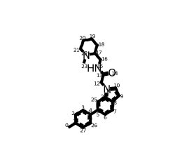 Cc1ccc(-c2ccc3ccn(CC(=O)NCC4CCCCN4C)c3c2)cc1